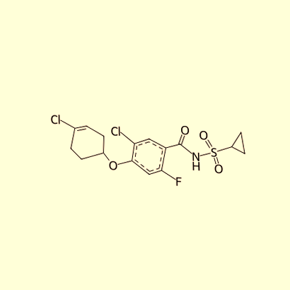 O=C(NS(=O)(=O)C1CC1)c1cc(Cl)c(OC2CC=C(Cl)CC2)cc1F